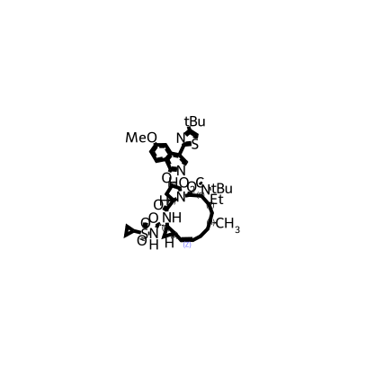 CC[C@@H]1C[C@H](C)CC/C=C\[C@@H]2C[C@@]2(C(=O)NS(=O)(=O)C2CC2)NC(=O)[C@@H]2C[C@@H](Oc3ncc(-c4nc(C(C)(C)C)cs4)c4cc(OC)ccc34)CN2C(=O)[C@H]1N(C(=O)O)C(C)(C)C